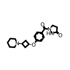 O=C1CCN(C(=O)c2ccc(O[C@H]3C[C@H](N4CCCCC4)C3)cc2)N1